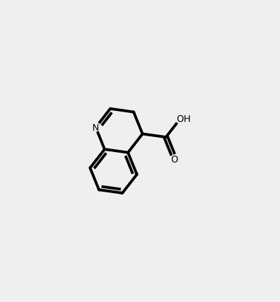 O=C(O)C1CC=Nc2ccccc21